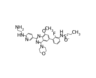 CCC[S+]([O-])Nc1cccc(-c2cc(OC)c3nc(-c4ccc(NCCN)nc4)nc(N4CCOCC4)c3c2)c1F